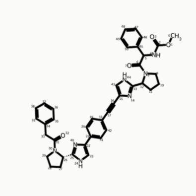 COC(=O)NC(C(=O)N1CCCC1c1nc(C#Cc2ccc(-c3c[nH]c([C@@H]4CCCN4C(=O)[CH]c4ccccc4)n3)cc2)c[nH]1)c1ccccc1